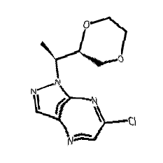 C[C@@H]([C@@H]1COCCO1)n1ncc2ncc(Cl)nc21